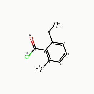 CCc1cccc(C)c1C(=O)Cl